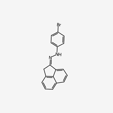 Brc1ccc(NN=C2Cc3cccc4cccc2c34)cc1